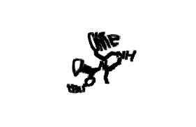 COCC1CNCC(C)N1C(=O)OC(C)(C)C